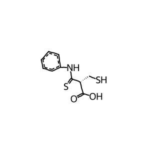 O=C(O)[C@@H](CS)C(=S)Nc1ccccc1